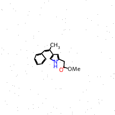 COC(=O)Cc1cc(C(C)=Cc2ccccc2)c[nH]1